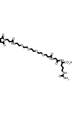 NC(=O)NCCCC(NC(=O)CNC(=O)CCOCCOCCOCCOCCNC(=O)CCN1C(=O)C=CC1=O)C(=O)O